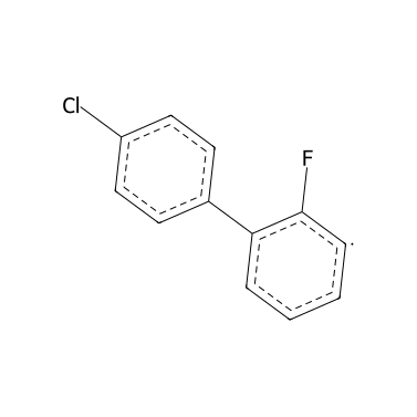 Fc1[c]cccc1-c1ccc(Cl)cc1